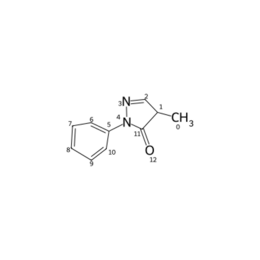 CC1C=NN(c2ccccc2)C1=O